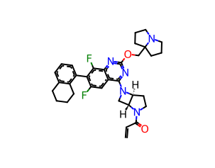 C=CC(=O)N1CC[C@H]2[C@H]1CN2c1nc(OCC23CCCN2CCC3)nc2c(F)c(-c3cccc4c3CCCC4)c(F)cc12